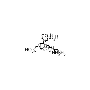 NCC(N)OCCOC(CN(CC(=O)O)CC(=O)O)N(CC(=O)O)CC(=O)O